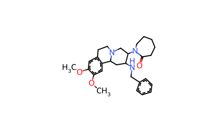 COc1cc2c(cc1OC)C1CC(NCc3ccccc3)C(N3CCCCCC3=O)CN1CC2